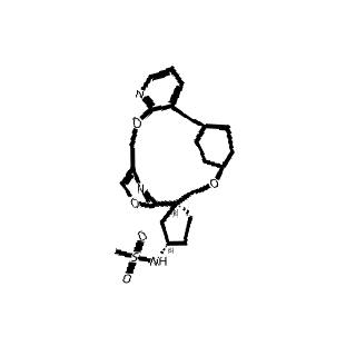 CS(=O)(=O)N[C@H]1CC[C@]2(COC3CCC(CC3)c3cccnc3OCc3coc2n3)C1